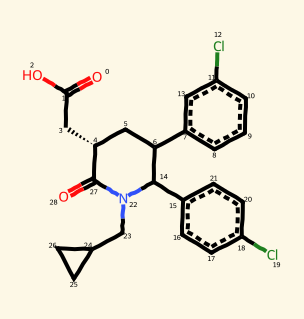 O=C(O)C[C@@H]1CC(c2cccc(Cl)c2)C(c2ccc(Cl)cc2)N(CC2CC2)C1=O